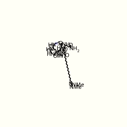 CNC(=NCCCCCCCCCCCCCCCCC(=O)NC(C)C(=O)NC1CC2(CS/C=C\NC(=O)C3CN(C1=O)C(CC(C)C)C(=O)NCC(=O)N3)NC(=O)C(CCC(N)=O)NC2=O)NC